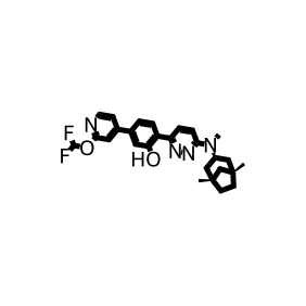 CN(c1ccc(-c2ccc(-c3ccnc(OC(F)F)c3)cc2O)nn1)[C@H]1C[C@]2(C)CC[C@](C)(C1)C2